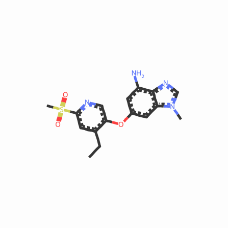 CCc1cc(S(C)(=O)=O)ncc1Oc1cc(N)c2ncn(C)c2c1